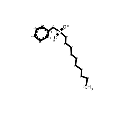 CCCCCCCCCCS(=O)(=O)Cc1ccccc1